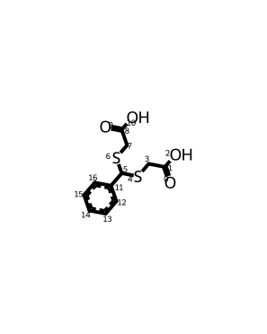 O=C(O)CSC(SCC(=O)O)c1ccccc1